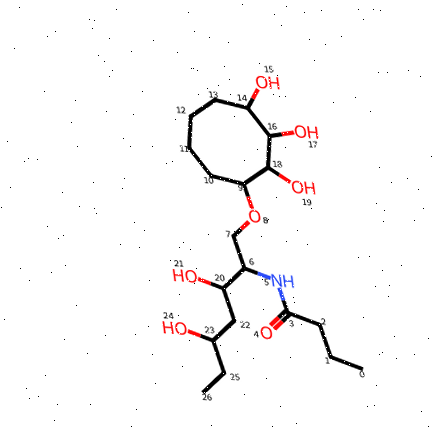 CCCC(=O)NC(COC1CCCCC(O)C(O)C1O)C(O)CC(O)CC